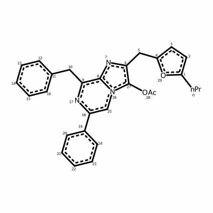 CCCc1ccc(Cc2nc3c(Cc4ccccc4)nc(-c4ccccc4)cn3c2OC(C)=O)o1